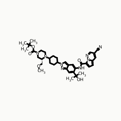 COC[C@@H]1CN(C(=O)OC(C)(C)C)CCN1C1CCC(n2cc3cc(NC(=O)c4ccc5cc(C#N)cnn45)c(C(C)(C)O)cc3n2)CC1